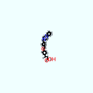 CC(CC(=O)O)c1ccc(OCc2ccc(CN3CCN(c4ccccc4)CC3)cc2)cc1